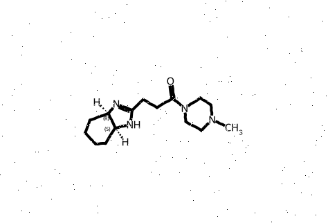 CN1CCN(C(=O)CCC2=N[C@@H]3CCCC[C@@H]3N2)CC1